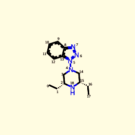 CC[C@@H]1CN(n2nnc3ccccc32)C[C@H](CC)N1